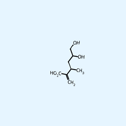 C=C(C(=O)O)C(C)CC(O)CO